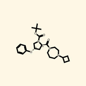 CC(C)(C)OC(=O)N1C[C@@H](Oc2ccccc2)C[C@@H]1C(=O)N1CCCN(C2CCC2)CC1